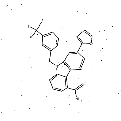 NC(=O)c1cccc2c1c1[c]cc(-c3ccco3)cc1n2Cc1cccc(C(F)(F)F)c1